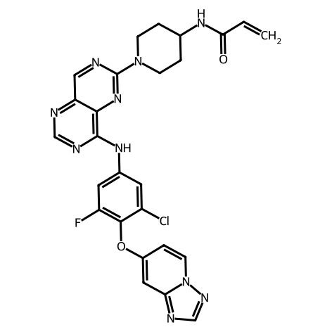 C=CC(=O)NC1CCN(c2ncc3ncnc(Nc4cc(F)c(Oc5ccn6ncnc6c5)c(Cl)c4)c3n2)CC1